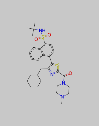 CN1CCN(C(=O)c2nc(CC3CCCCC3)c(-c3ccc(S(=O)(=O)NC(C)(C)C)c4ccccc34)s2)CC1